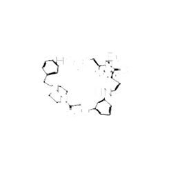 CCN(C(=O)C/C=C\Nc1cccc(OCC(=O)N2CCN(Cc3ccccc3)CC2)c1)/C(=C/C(=O)O)SC